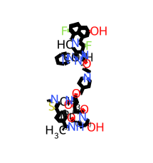 C#Cc1c(F)ccc2cc(O)cc(-c3ncc4c(N5CC6CCC(C5)N6C(=O)O)nc(OCCN5CCC(COc6cc([C@H](C(=O)N7C[C@H](O)C[C@H]7C(=O)N[C@@H](C)c7ccc(-c8scnc8C)cc7)C(C)C)on6)CC5)nc4c3F)c12